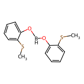 CSc1ccccc1OBOc1ccccc1SC